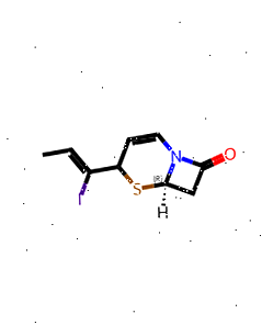 CC=C(I)C1C=CN2C(=O)C[C@H]2S1